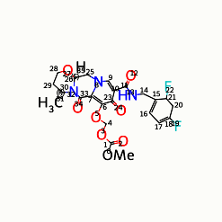 COC(=O)OCOc1c2n(cc(C(=O)NCC3=CC=C(F)CC3F)c1=O)C[C@@H]1OCC[C@@H](C)N1C2=O